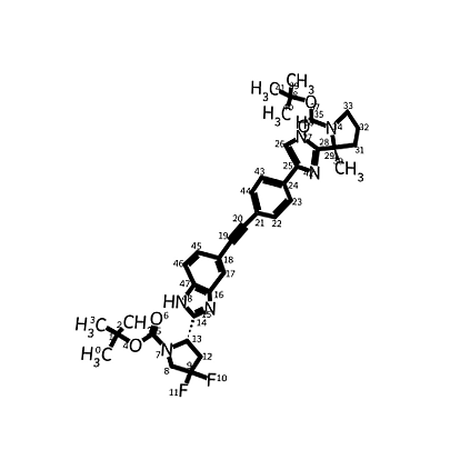 CC(C)(C)OC(=O)N1CC(F)(F)C[C@H]1c1nc2cc(C#Cc3ccc(-c4c[nH]c([C@@]5(C)CCCN5C(=O)OC(C)(C)C)n4)cc3)ccc2[nH]1